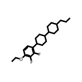 CCCC1CCC(C2CCC(c3ccc(OCC)c(F)c3F)CC2)CC1